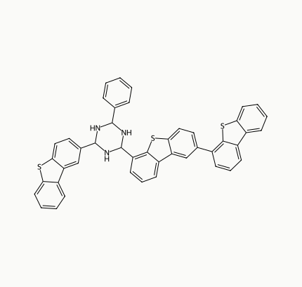 c1ccc(C2NC(c3ccc4sc5ccccc5c4c3)NC(c3cccc4c3sc3ccc(-c5cccc6c5sc5ccccc56)cc34)N2)cc1